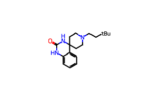 CC(C)(C)CCN1CCC2(CC1)NC(=O)Nc1ccccc12